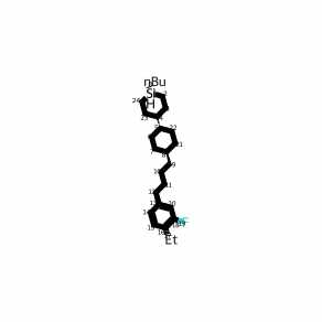 CCCC[SiH]1CCC([C@H]2CC[C@H](CCCCc3ccc(CC)c(F)c3)CC2)CC1